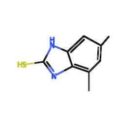 Cc1cc(C)c2nc(S)[nH]c2c1